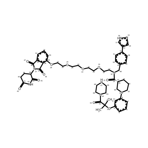 CC(C)(Oc1cccc(N2CCC[C@@H](C(=O)N(CCOCCOCCOCCOc3cccc4c3C(=O)N(C3CCC(=O)NC3=O)C4=O)Cc3ccc(-c4cn[nH]c4)cc3)C2)c1)C(=O)N1CCNCC1